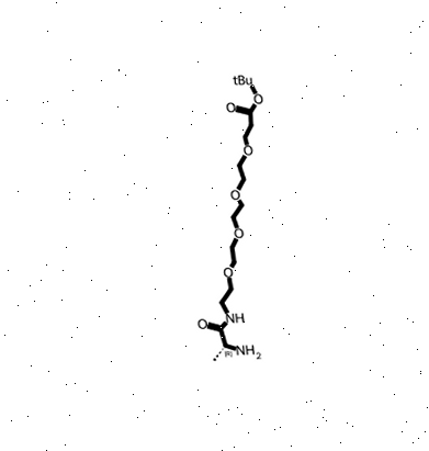 C[C@@H](N)C(=O)NCCOCCOCCOCCOCCC(=O)OC(C)(C)C